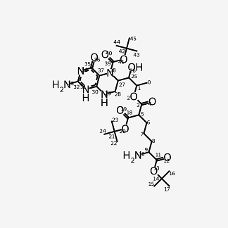 CC(OC(=O)C(CCCC(N)C(=O)OC(C)(C)C)C(=O)OC(C)(C)C)C(O)C1CNc2[nH]c(N)nc(=O)c2N1C(=O)OC(C)(C)C